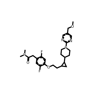 COCc1cnc(N2CCC(C3CC3CCOc3cc(F)c(CC(=O)N(C)C)cc3F)CC2)nc1